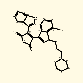 O=C1NC(=O)C(c2cn(CCCN3CCCCC3)c3c(F)cccc23)=C1c1c[nH]c2ccccc12